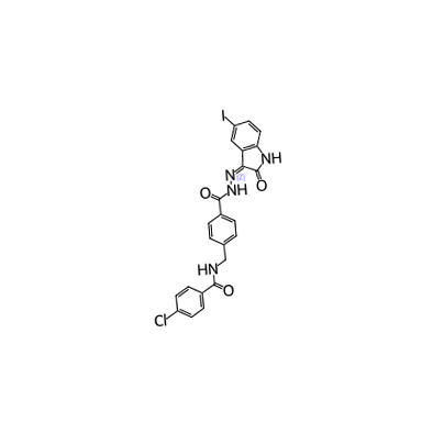 O=C1Nc2ccc(I)cc2/C1=N/NC(=O)c1ccc(CNC(=O)c2ccc(Cl)cc2)cc1